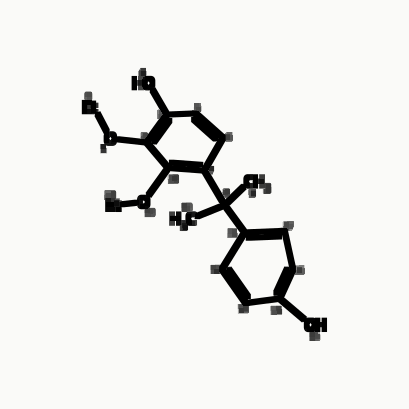 CCOc1c(O)ccc(C(C)(C)c2ccc(O)cc2)c1OCC